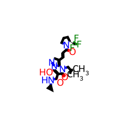 CC(C)Cn1c(=O)c(C(=O)NC2CC2)c(O)n2ncc(/C=C/C(=O)N3CCC[C@@H]3C(F)(F)F)c12